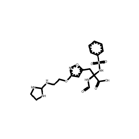 O=CNC(Cc1cc(OCCNC2NCCN2)no1)(NS(=O)(=O)c1ccccc1)C(=O)O